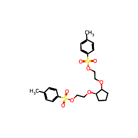 Cc1ccc(S(=O)(=O)OCCO[C@H]2CCC[C@H]2OCCOS(=O)(=O)c2ccc(C)cc2)cc1